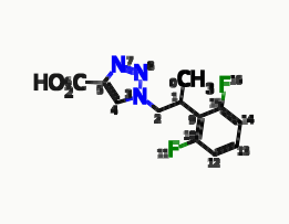 CC(Cn1cc(C(=O)O)nn1)c1c(F)cccc1F